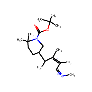 C/N=C\C(C)=C(\C)C(C)C1CCC(C)(C)N(C(=O)OC(C)(C)C)C1